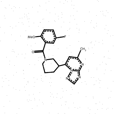 COc1ccc(F)cc1C(=O)N1CCCC(c2cc(C)nc3ncnn23)C1